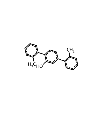 Cc1ccccc1-c1ccc(-c2ccccc2C)c(O)c1